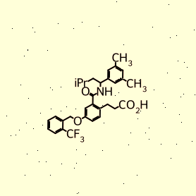 Cc1cc(C)cc(C(CC(C)C)NC(=O)c2cc(OCc3ccccc3C(F)(F)F)ccc2CCC(=O)O)c1